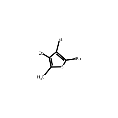 CCc1c(C)sc(C(C)CC)c1CC